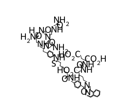 NC(=O)CNCCN(CCN(CC(N)=O)C(CNCC(N)=O)Cc1ccc(NC(=S)CCCCCC(=O)NCc2ccc(C(=O)N(CCCC[C@@H](NC(=O)N[C@H](CCC(=O)O)C(=O)O)C(=O)O)Cc3nccc4ccccc34)cc2)cc1)CC(N)=O